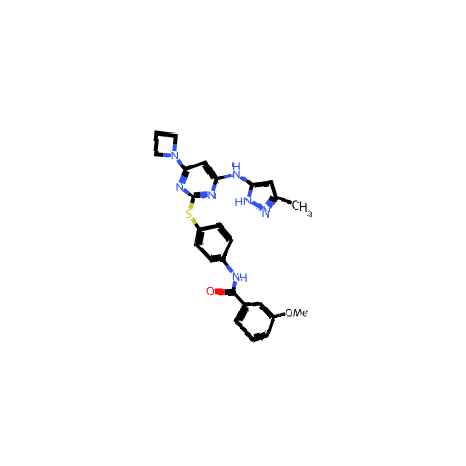 COc1cccc(C(=O)Nc2ccc(Sc3nc(Nc4cc(C)n[nH]4)cc(N4CCC4)n3)cc2)c1